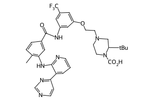 Cc1ccc(C(=O)Nc2cc(OCCN3CCN(C(=O)O)C(C(C)(C)C)C3)cc(C(F)(F)F)c2)cc1Nc1ncccc1-c1ccncn1